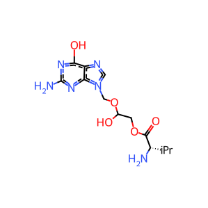 CC(C)[C@H](N)C(=O)OCC(O)OCn1cnc2c(O)nc(N)nc21